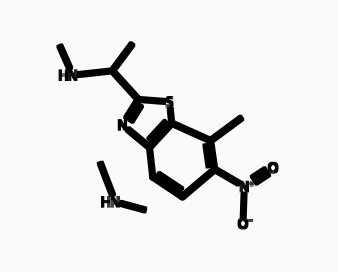 CNC.CNC(C)c1nc2ccc([N+](=O)[O-])c(C)c2s1